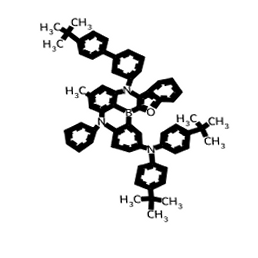 Cc1cc2c3c(c1)N(c1cccc(-c4ccc(C(C)(C)C)cc4)c1)c1c(oc4ccccc14)B3c1cc(N(c3ccc(C(C)(C)C)cc3)c3ccc(C(C)(C)C)cc3)ccc1N2c1ccccc1